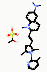 CC(O)S(=O)(=O)[O-].Cc1cccnc1-n1c(C)cc(/C=C/c2ccc3cc(N(C)C)ccc3[n+]2C)c1C